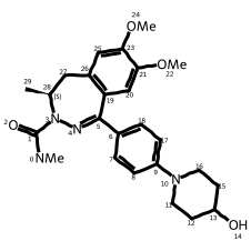 CNC(=O)N1N=C(c2ccc(N3CCC(O)CC3)cc2)c2cc(OC)c(OC)cc2C[C@@H]1C